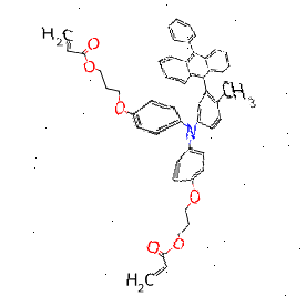 C=CC(=O)OCCCOc1ccc(N(c2ccc(OCCCOC(=O)C=C)cc2)c2ccc(C)c(-c3c4ccccc4c(-c4ccccc4)c4ccccc34)c2)cc1